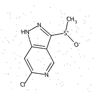 C[S+]([O-])c1n[nH]c2cc(Cl)ncc12